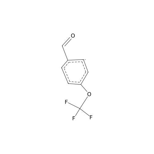 O=Cc1[c]cc(OC(F)(F)F)cc1